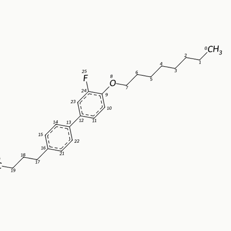 CCCCCCCCOc1ccc(-c2ccc(CCCC)cc2)cc1F